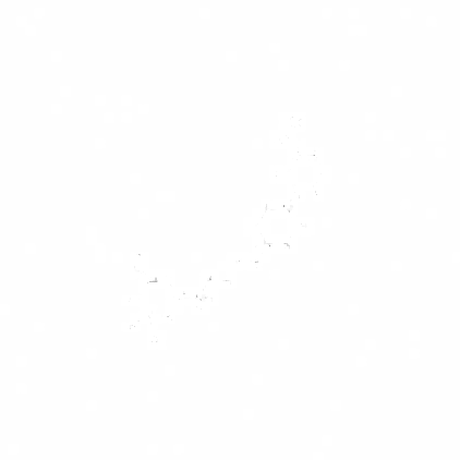 CCOc1cccc(N2CCN(CCCCNC3=CC(=O)CC(C)(C)C3)CC2)c1